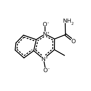 Cc1c(C(N)=O)[n+]([O-])c2ccccc2[n+]1[O-]